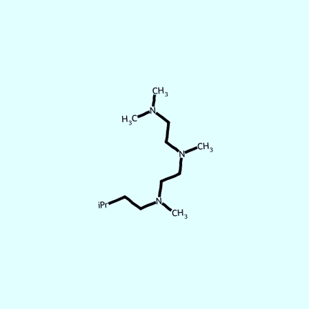 CC(C)CCN(C)CCN(C)CCN(C)C